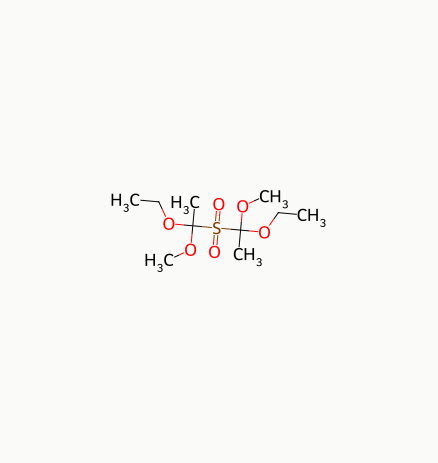 CCOC(C)(OC)S(=O)(=O)C(C)(OC)OCC